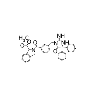 COC(=O)C1c2ccccc2CN1C(=O)c1cccc(CN2C(=N)NC(c3ccccc3)(c3ccccc3)C2=O)c1